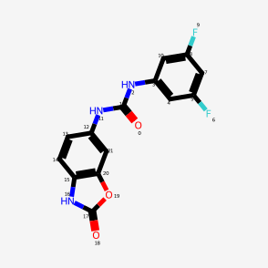 O=C(Nc1cc(F)cc(F)c1)Nc1ccc2[nH]c(=O)oc2c1